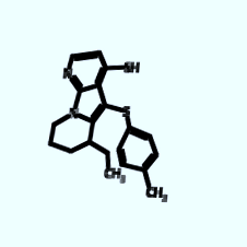 CCC1CCCn2c1c(Sc1ccc(C)cc1)c1c(S)ccnc12